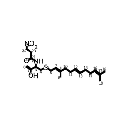 C=C(O)C(CSC/C=C(\C)CC/C=C/CCC=C(C)C)NC(=O)CC[N+](=O)[O-]